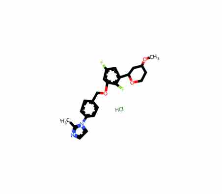 COC1CCOC(c2cc(F)cc(OCc3ccc(-n4ccnc4C)cc3)c2F)C1.Cl